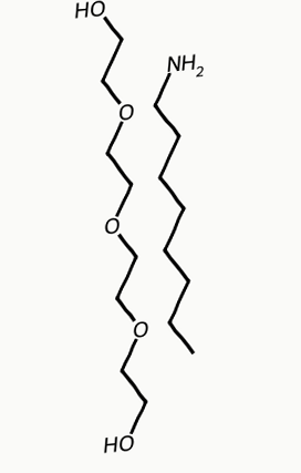 CCCCCCCCN.OCCOCCOCCOCCO